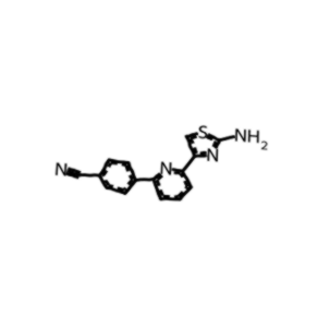 N#Cc1ccc(-c2cccc(-c3csc(N)n3)n2)cc1